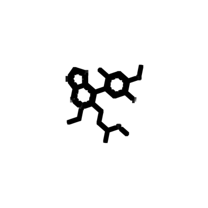 CCn1nc2ncnc-2c(-c2cc(F)c(OC)cc2C)c1CCC(C)OC